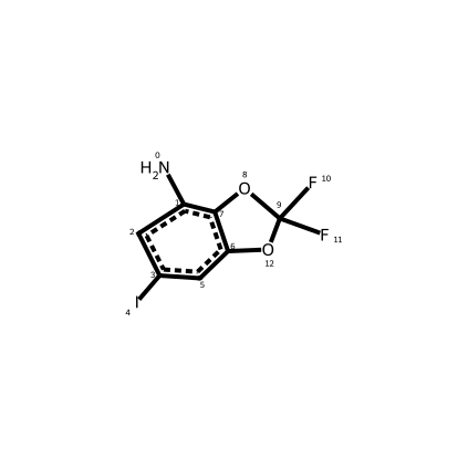 Nc1cc(I)cc2c1OC(F)(F)O2